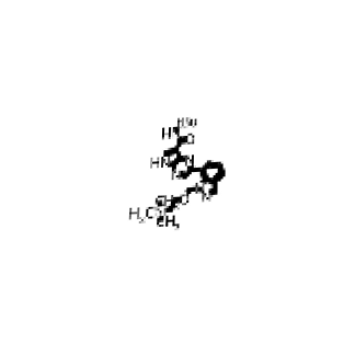 CC(C)(C)NC(=O)c1c[nH]c2ncc(-c3cccc4cnn(COCC[Si](C)(C)C)c34)nc12